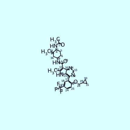 CC(=O)N[C@@H]1CC[C@@H](NC(=O)c2c(C)[nH]c3c(-c4cc(C(F)(F)F)ccc4OCC4CC4)ncnc23)C[C@H]1C